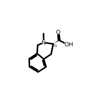 CN1Cc2ccccc2C[C@H]1C(=O)O